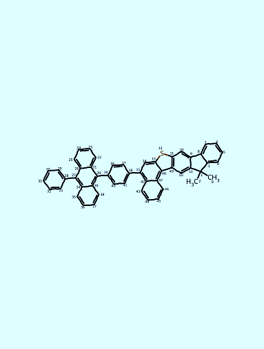 CC1(C)c2ccccc2-c2cc3sc4cc(-c5ccc(-c6c7ccccc7c(-c7ccccc7)c7ccccc67)cc5)c5ccccc5c4c3cc21